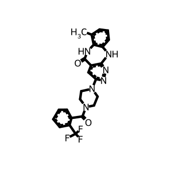 Cc1cccc2c1NC(=O)c1cc(N3CCN(C(=O)c4ccccc4C(F)(F)F)CC3)nnc1N2